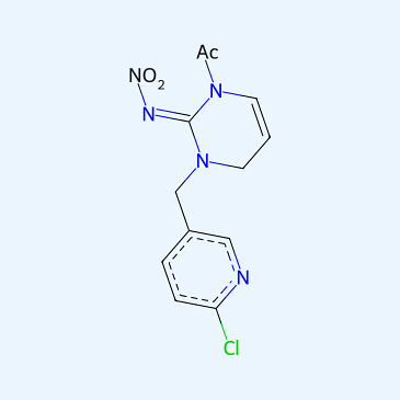 CC(=O)N1C=CCN(Cc2ccc(Cl)nc2)C1=N[N+](=O)[O-]